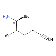 C#CCCC(CCC)[C@@H](N)C(C)(C)C